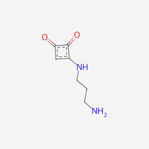 NCCCNc1cc(=O)c1=O